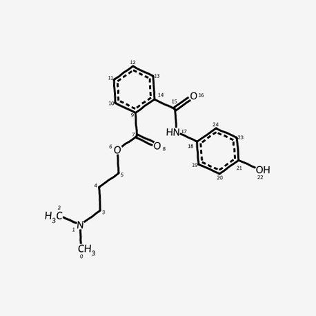 CN(C)CCCOC(=O)c1ccccc1C(=O)Nc1ccc(O)cc1